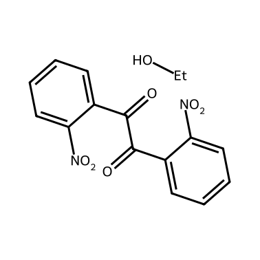 CCO.O=C(C(=O)c1ccccc1[N+](=O)[O-])c1ccccc1[N+](=O)[O-]